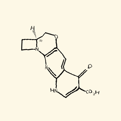 O=C(O)c1c[nH]c2nc3c(cc2c1=O)OC[C@@H]1CCN31